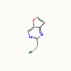 BrCc1ncc2occc2n1